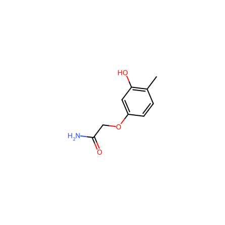 Cc1ccc(OCC(N)=O)cc1O